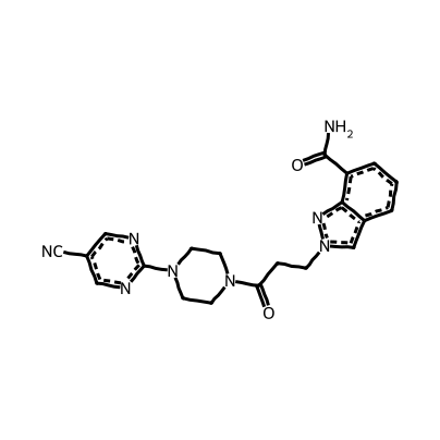 N#Cc1cnc(N2CCN(C(=O)CCn3cc4cccc(C(N)=O)c4n3)CC2)nc1